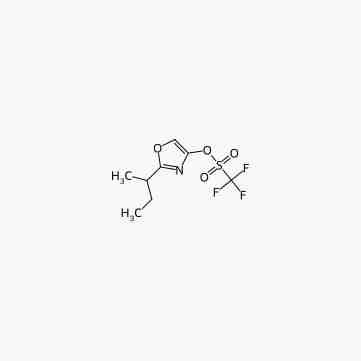 CCC(C)c1nc(OS(=O)(=O)C(F)(F)F)co1